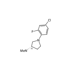 CN[C@H]1CCN(c2ccc(Cl)cc2F)C1